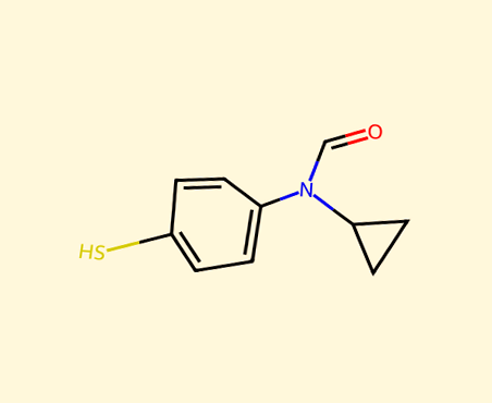 O=CN(c1ccc(S)cc1)C1CC1